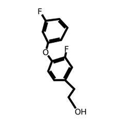 OCCc1ccc(Oc2cccc(F)c2)c(F)c1